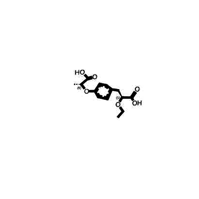 CCO[C@@H](Cc1ccc(O[C@H](C)C(=O)O)cc1)C(=O)O